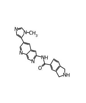 Cn1cncc1-c1cnc2cnc(NC(=O)c3ccc4c(c3)CNC4)cc2c1